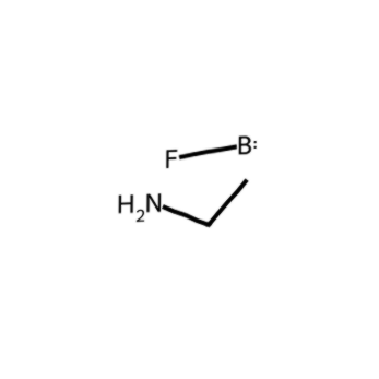 CCN.[B]F